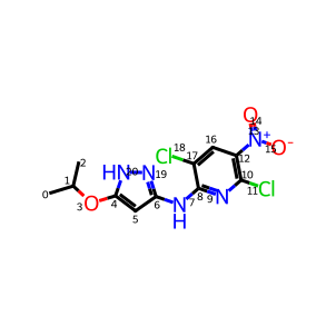 CC(C)Oc1cc(Nc2nc(Cl)c([N+](=O)[O-])cc2Cl)n[nH]1